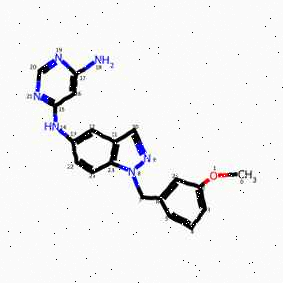 COc1cccc(Cn2ncc3cc(Nc4cc(N)ncn4)ccc32)c1